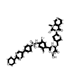 Cn1c(=O)n(-c2ccc(C[C@H](NC(=O)c3cc(F)c(NS(=O)(=O)c4ccc(-c5cnc(C6CCOCC6)nc5)cc4)cc3F)C(=O)NO)cn2)c(=O)c2ccncc21